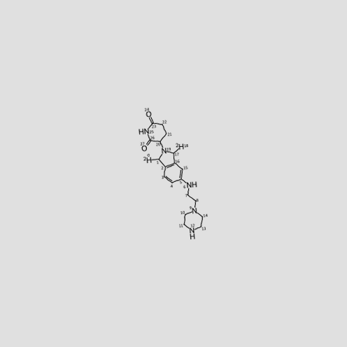 [2H]C1c2ccc(NCCN3CCNCC3)cc2C([2H])N1C1CCC(=O)NC1=O